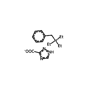 CC[N+](CC)(CC)Cc1ccccc1.O=C([O-])c1nc[nH]n1